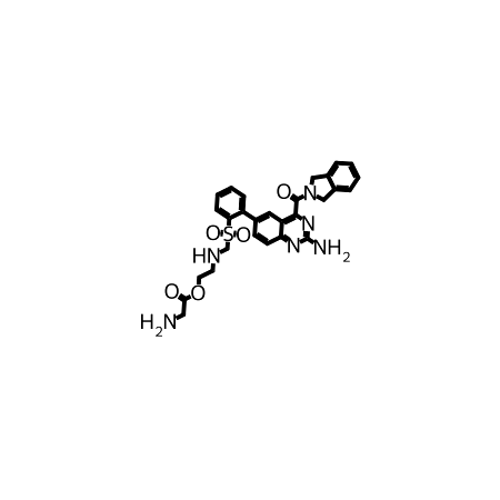 NCC(=O)OCCNCS(=O)(=O)c1ccccc1-c1ccc2nc(N)nc(C(=O)N3Cc4ccccc4C3)c2c1